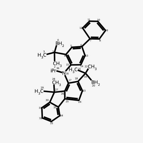 BC(C)(C)c1cc(-c2ccccc2)ccc1N(c1c(C(B)(C)C)ccc2c1C(C)(C)c1ccccc1-2)C(C)C